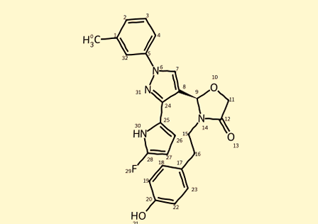 Cc1cccc(-n2cc([C@H]3OCC(=O)N3CCc3ccc(O)cc3)c(-c3ccc(F)[nH]3)n2)c1